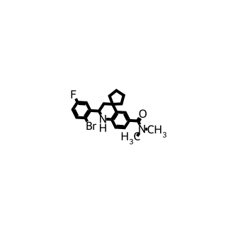 CN(C)C(=O)c1ccc2c(c1)C1(CCCC1)CC(c1cc(F)ccc1Br)N2